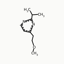 COCCc1c[c]nc(C(C)C)n1